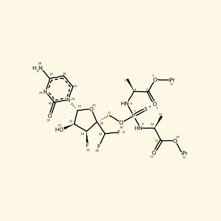 CC(C)OC(=O)[C@H](C)NP(=S)(N[C@@H](C)C(=O)OC(C)C)OC[C@@]1(C(F)F)O[C@@H](n2ccc(N)nc2=O)[C@H](O)[C@@H]1F